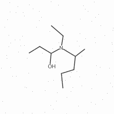 CCCC(C)N(CC)C(O)CC